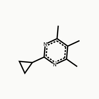 Cc1nc(C2CC2)nc(C)c1C